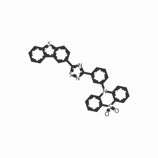 O=S1(=O)c2ccccc2N(c2cccc(-c3nsc(-c4ccc5sc6ccccc6c5c4)n3)c2)c2ccccc21